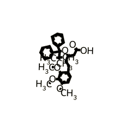 COc1ccc(CCC(CC(=O)O)OC(c2ccccc2)(c2ccccc2)C(C)(C)C)c(OC)c1OC